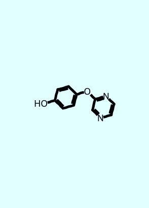 Oc1ccc(Oc2cnccn2)cc1